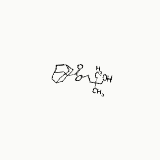 CC(C)(CO)CCOC(=O)C12CC3CC(CC(C3)C1)C2